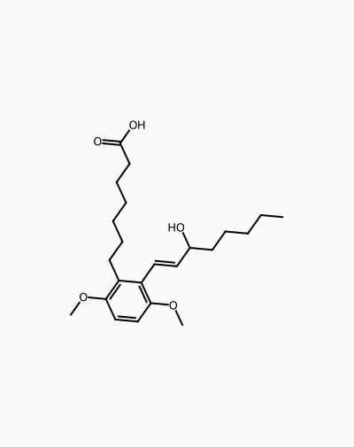 CCCCCC(O)C=Cc1c(OC)ccc(OC)c1CCCCCCC(=O)O